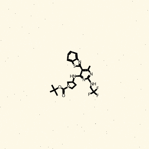 Cc1nc(NCC(F)(F)F)nc(NC2CCN(C(=O)OC(C)(C)C)C2)c1-c1nc2ccccc2s1